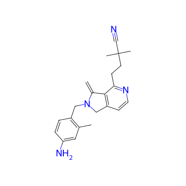 C=C1c2c(ccnc2CCC(C)(C)C#N)CN1Cc1ccc(N)cc1C